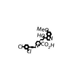 COc1ccc2nccc(C(O)CC[C@@H]3CCN(CC#Cc4ccc(Cl)cc4Cl)C[C@@H]3C(=O)O)c2c1